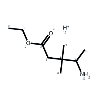 CCOC(=O)CC(C)(C)C(C)N.[H+]